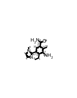 CCc1c(-c2nccn2C)cc(C(N)=O)c(C)c1N